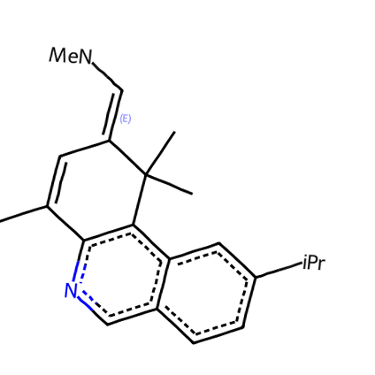 CN/C=C1\C=C(C)c2ncc3ccc(C(C)C)cc3c2C1(C)C